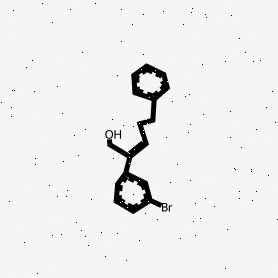 OCC(=CCCc1ccccc1)c1cccc(Br)c1